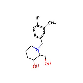 Cc1cc(CN2CCCC(O)C2CO)ccc1C(C)C